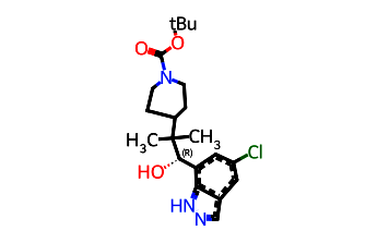 CC(C)(C)OC(=O)N1CCC(C(C)(C)[C@@H](O)c2cc(Cl)cc3cn[nH]c23)CC1